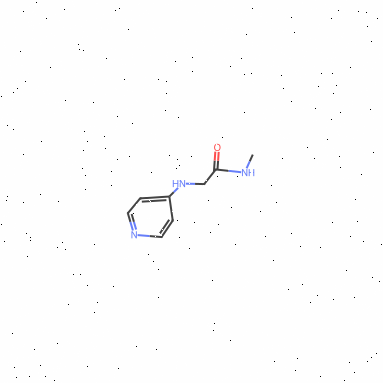 CNC(=O)CNc1ccncc1